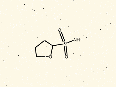 [NH]S(=O)(=O)C1CCCO1